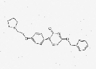 O=c1nc(OCc2ccccc2)ccn1-c1ccc(OCCN2CCCC2)cc1